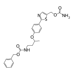 CC(CCNC(=O)OCc1ccccc1)Oc1ccc(-c2ncc(COC(N)=O)s2)cc1